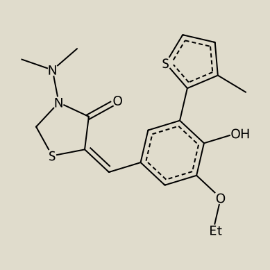 CCOc1cc(C=C2SCN(N(C)C)C2=O)cc(-c2sccc2C)c1O